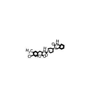 Cc1cc(CC(NC(=O)N2CCC(N3Cc4ccccc4NC3=O)CC2)C(=O)O)ccc1Cl